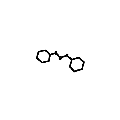 C1CCC(SOSC2CCCCC2)CC1